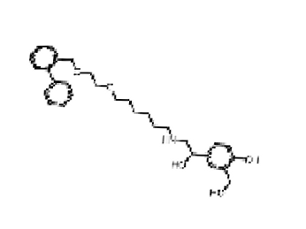 OCc1cc([C@@H](O)CNCCCCCCOCCOCc2ccccc2-c2ccccc2)ccc1O